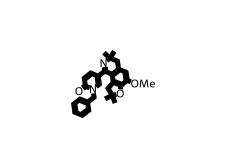 COc1cc2c(c3c1OC(C)(C)C3)C(c1ccc(=O)n(Cc3ccccc3)c1)=NC(C)(C)C2